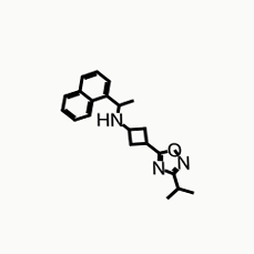 CC(C)c1noc(C2CC(NC(C)c3cccc4ccccc34)C2)n1